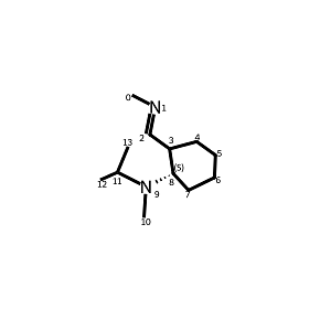 CN=CC1CCCC[C@@H]1N(C)C(C)C